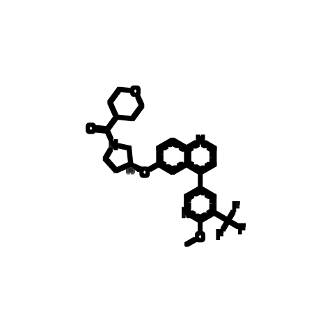 COc1ncc(-c2ccnc3ccc(O[C@H]4CCN(C(=O)C5CCOCC5)C4)cc23)cc1C(F)(F)F